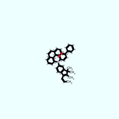 C/C=C\C1=C(C)C(C)(C)c2cc(N(c3ccc(-c4ccccc4)cc3)c3cccc4ccc5ccccc5c34)ccc21